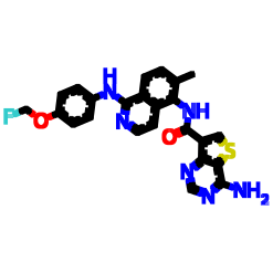 Cc1ccc2c(Nc3ccc(OCF)cc3)nccc2c1NC(=O)c1csc2c(N)ncnc12